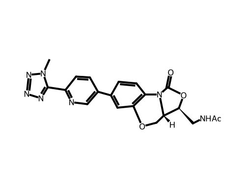 CC(=O)NC[C@@H]1OC(=O)N2c3ccc(-c4ccc(-c5nnnn5C)nc4)cc3OC[C@@H]12